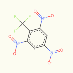 O=[N+]([O-])c1[c]c([N+](=O)[O-])c(C(F)(F)F)c([N+](=O)[O-])c1